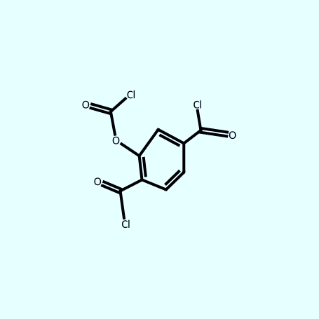 O=C(Cl)Oc1cc(C(=O)Cl)ccc1C(=O)Cl